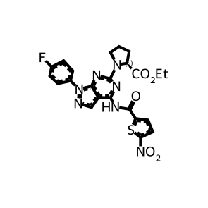 CCOC(=O)[C@@H]1CCCN1c1nc(NC(=O)c2ccc([N+](=O)[O-])s2)c2cnn(-c3ccc(F)cc3)c2n1